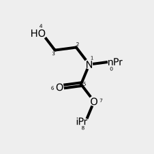 CCCN(CCO)C(=O)OC(C)C